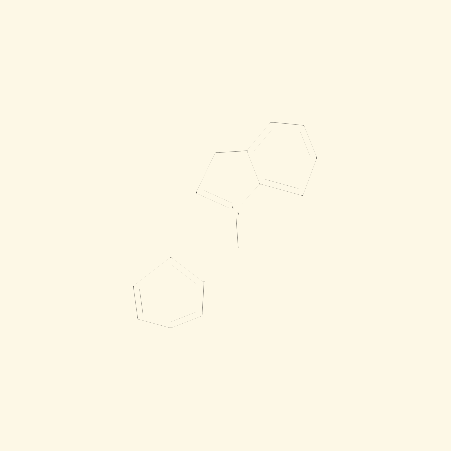 C1=[N+](Cc2ccccc2)c2ccccc2C1